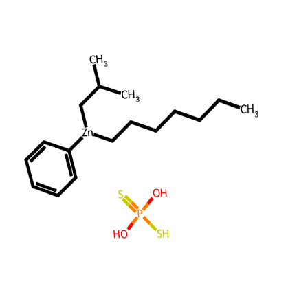 CCCCCC[CH2][Zn]([CH2]C(C)C)[c]1ccccc1.OP(O)(=S)S